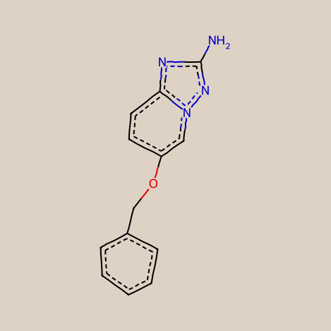 Nc1nc2ccc(OCc3ccccc3)cn2n1